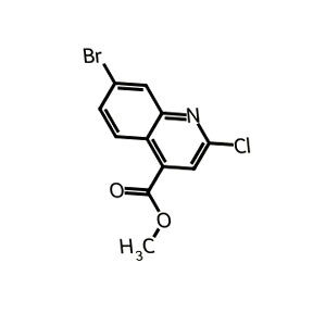 COC(=O)c1cc(Cl)nc2cc(Br)ccc12